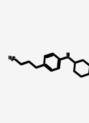 CCCCc1ccc(PC2CCCCC2)cc1